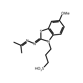 COc1ccc2c(c1)sc(=NN=C(C)C)n2CCCS(=O)(=O)O